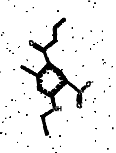 CCCC(=O)c1cc([N+](=O)[O-])c(NCC)cc1C